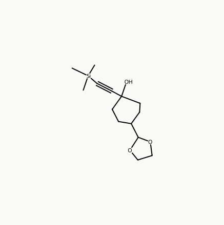 C[Si](C)(C)C#CC1(O)CCC(C2OCCO2)CC1